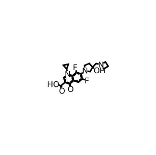 O=C(O)c1cn(C2CC2)c2c(F)c(N3CCC(O)(CN4CCC4)C3)c(F)cc2c1=O